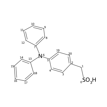 O=S(=O)(O)Cc1ccc(N(c2ccccc2)c2ccccc2)cc1